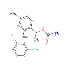 CNc1ccc(C(C)OC(N)=O)c(OC)c1.Fc1cccc(F)c1